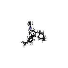 CCO/C=C/c1cc(NC2CCC(F)(F)CC2)nc(-n2ccc(C3CC3)n2)n1